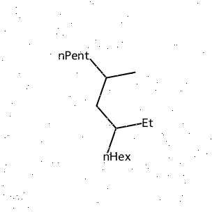 CCCCCCC(CC)CC(C)CCCCC